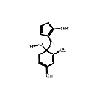 CC(C)OC1(OC2=[C]([SnH])CC=C2)CC=C(C(C)(C)C)C=C1C(C)(C)C